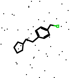 ClCc1ccc(CCC2CCCC2)cc1